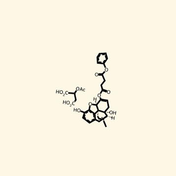 CC(=O)OC(CC(=O)O)C(=O)O.CN1CC[C@]23c4c5ccc(O)c4O[C@H]2C(OC(=O)CCC(=O)Oc2ccccc2)=CC[C@@]3(O)[C@H]1C5